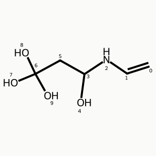 C=CNC(O)CC(O)(O)O